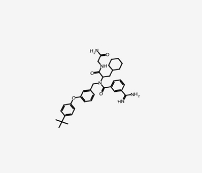 CC(C)(C)c1ccc(Oc2cccc(CN(C(=O)c3cccc(C(=N)N)c3)C(CC3CCCCC3)C(=O)NCC(N)=O)c2)cc1